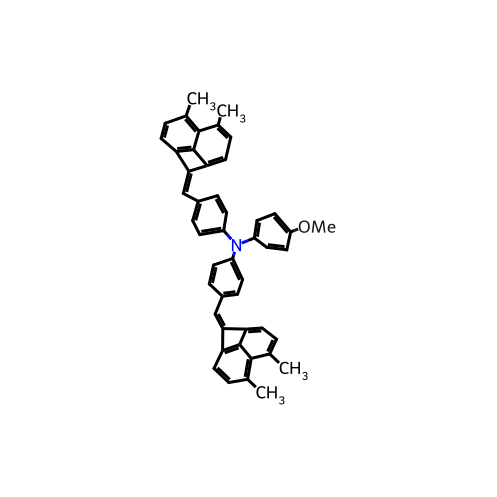 COc1ccc(N(c2ccc(C=c3c4ccc(C)c5c(C)ccc3c54)cc2)c2ccc(C=c3c4ccc(C)c5c(C)ccc3c54)cc2)cc1